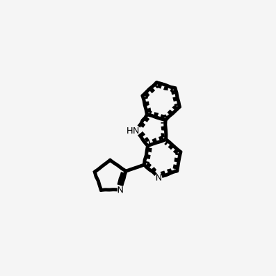 c1ccc2c(c1)[nH]c1c(C3=NCCC3)nccc12